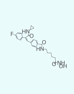 O=C(CCCCCNC(=O)c1ccc(C=C(C(=O)NC2CC2)c2ccc(F)cc2)cc1)NO